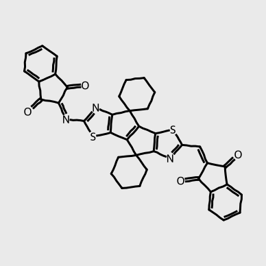 O=C1C(=Cc2nc3c(s2)C2=C(c4sc(N=c5c(=O)c6ccccc6c5=O)nc4C24CCCCC4)C32CCCCC2)C(=O)c2ccccc21